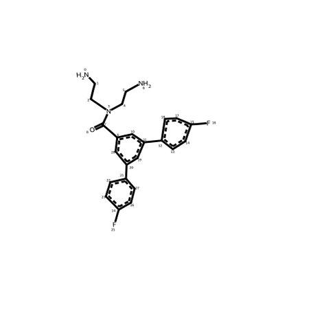 NCCN(CCN)C(=O)c1cc(-c2ccc(F)cc2)cc(-c2ccc(F)cc2)c1